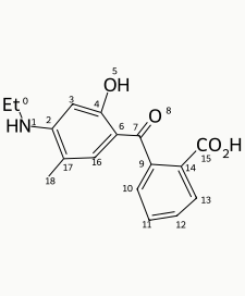 CCNc1cc(O)c(C(=O)c2ccccc2C(=O)O)cc1C